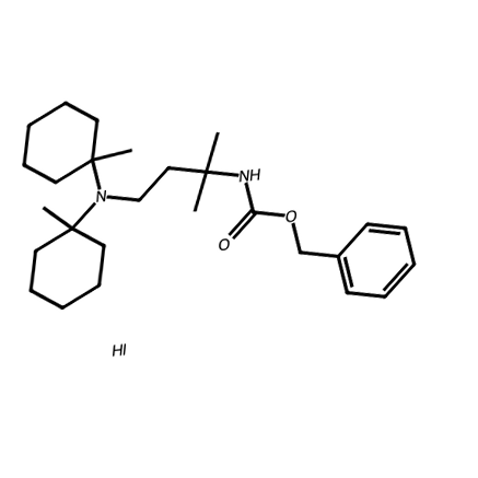 CC(C)(CCN(C1(C)CCCCC1)C1(C)CCCCC1)NC(=O)OCc1ccccc1.I